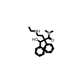 CCNCCC(C(=O)N(C)C)(c1ccccc1)C(O)c1ccccc1